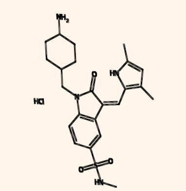 CNS(=O)(=O)c1ccc2c(c1)/C(=C/c1[nH]c(C)cc1C)C(=O)N2CC1CCC(N)CC1.Cl